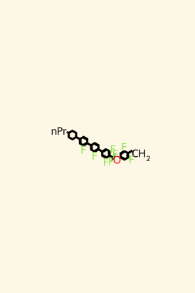 C=Cc1c(F)cc(OC(F)(F)c2c(F)cc(-c3ccc(-c4ccc(C5CCC(CCC)CC5)cc4F)cc3F)cc2F)cc1F